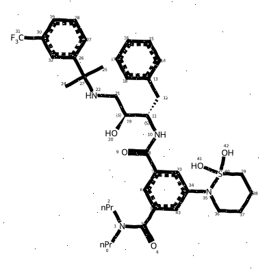 CCCN(CCC)C(=O)c1cc(C(=O)N[C@@H](Cc2ccccc2)[C@@H](O)CNC(C)(C)c2cccc(C(F)(F)F)c2)cc(N2CCCCS2(O)O)c1